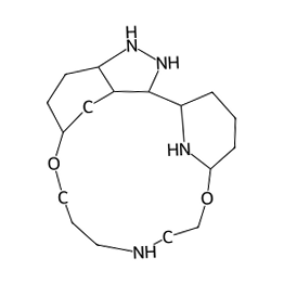 C1CNCCOC2CCCC(N2)C2NNC3CCC(CC32)OC1